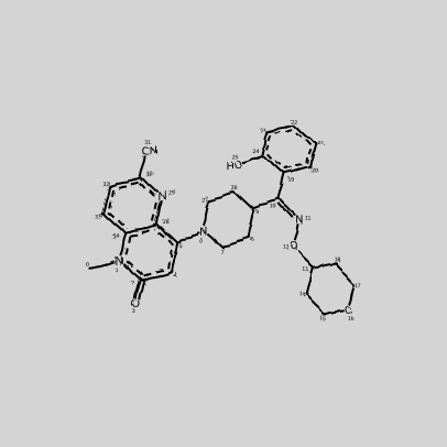 Cn1c(=O)cc(N2CCC(/C(=N\OC3CCOCC3)c3ccccc3O)CC2)c2nc(C#N)ccc21